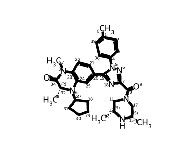 Cc1ccc(-n2nc(C(=O)N3C[C@@H](C)N[C@@H](C)C3)nc2-c2ccc3c(c2)N(C2CCCC2)[C@H](C)C(=O)N3C)cc1